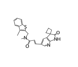 Cc1c(CN(C)C(=O)C=Cc2cnc3c(c2)C2(CCC2)C(=O)N3)sc2ccccc12